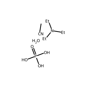 CC#N.CCN(CC)CC.O.O=P(O)(O)O